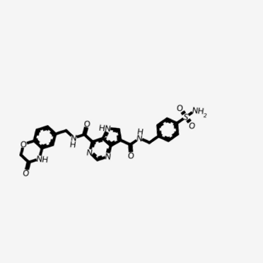 NS(=O)(=O)c1ccc(CNC(=O)c2c[nH]c3c(C(=O)NCc4ccc5c(c4)NC(=O)CO5)ncnc23)cc1